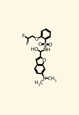 CN(C)c1ccc2cc(C(O)NS(=O)(=O)c3ccccc3OCC(F)F)oc2c1